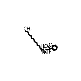 CCCCCCCCCCCCn1nnc(C(F)(C(=O)O)c2ccccc2)n1